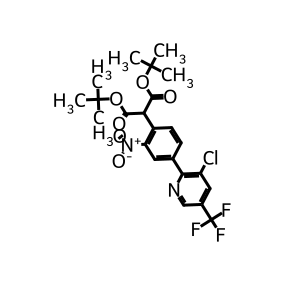 CC(C)(C)OC(=O)C(C(=O)OC(C)(C)C)c1ccc(-c2ncc(C(F)(F)F)cc2Cl)cc1[N+](=O)[O-]